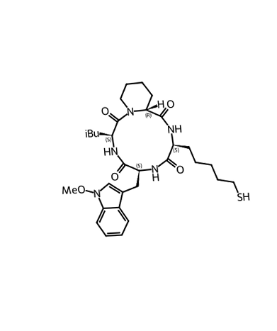 CCC(C)[C@@H]1NC(=O)[C@H](Cc2cn(OC)c3ccccc23)NC(=O)[C@H](CCCCCS)NC(=O)[C@H]2CCCCN2C1=O